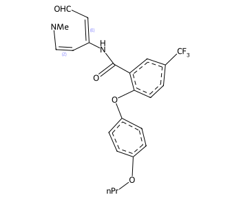 CCCOc1ccc(Oc2ccc(C(F)(F)F)cc2C(=O)NC(/C=C\NC)=C/C=O)cc1